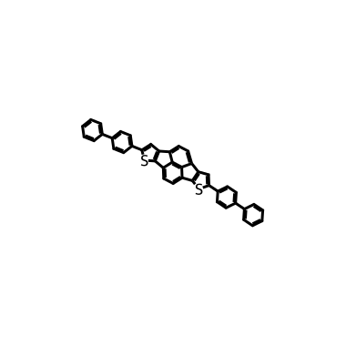 c1ccc(-c2ccc(-c3cc4c(s3)-c3ccc5c6c(ccc-4c36)-c3cc(-c4ccc(-c6ccccc6)cc4)sc3-5)cc2)cc1